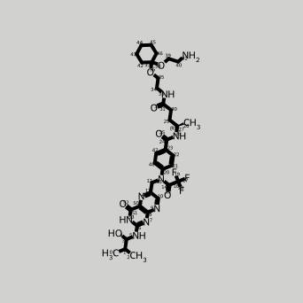 CC(C)C(O)Nc1nc2ncc(CN(C(=O)C(F)(F)F)c3ccc(C(=O)N[C@H](C)CCC(=O)NCCOC4(OCCN)CCCCC4)cc3)nc2c(=O)[nH]1